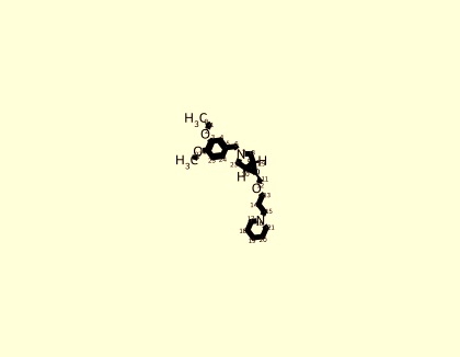 CCOc1cc(CN2C[C@@H]3[C@@H](COCCCN4CCCCC4)[C@@H]3C2)ccc1OC